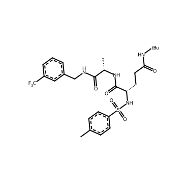 Cc1ccc(S(=O)(=O)N[C@@H](CCC(=O)NC(C)(C)C)C(=O)N[C@@H](C)C(=O)NCc2cccc(C(F)(F)F)c2)cc1